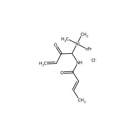 C=CC(=O)C(NC(=O)C=CC)[N+](C)(C)CCC.[Cl-]